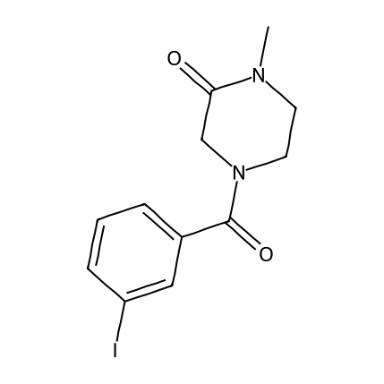 CN1CCN(C(=O)c2cccc(I)c2)CC1=O